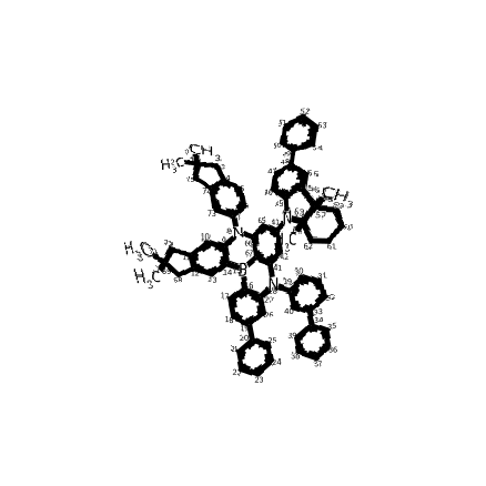 CC1(C)Cc2ccc(N3c4cc5c(cc4B4c6ccc(-c7ccccc7)cc6N(c6cccc(-c7ccccc7)c6)c6cc(N7c8ccc(-c9ccccc9)cc8C8(C)CCCCC78C)cc3c64)CC(C)(C)C5)cc2C1